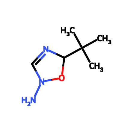 CC(C)(C)C1N=CN(N)O1